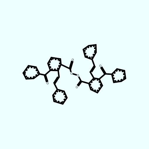 O=C(OOC(=O)c1cccc(C(=O)c2ccccc2)c1/C=C/c1ccccc1)c1cccc(C(=O)c2ccccc2)c1/C=C/c1ccccc1